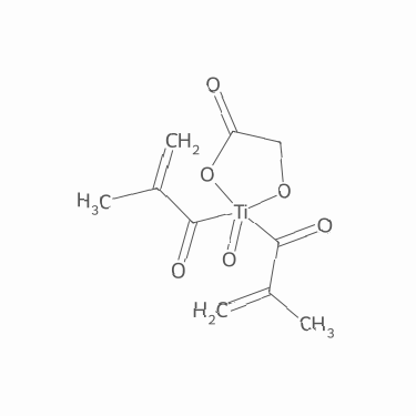 C=C(C)[C](=O)[Ti]1(=[O])([C](=O)C(=C)C)[O]CC(=O)[O]1